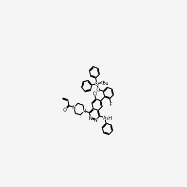 C=CC(=O)N1CCN(c2nnc([AsH]c3ccccc3)c3cc(-c4c(F)cccc4O[Si](c4ccccc4)(c4ccccc4)C(C)(C)C)c(Cl)cc23)CC1